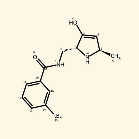 C[C@@H]1C=C(O)[C@@H](CNC(=O)c2cccc(C(C)(C)C)c2)N1